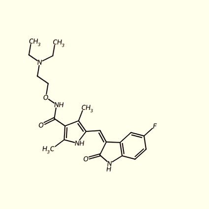 CCN(CC)CCONC(=O)c1c(C)[nH]c(C=C2C(=O)Nc3ccc(F)cc32)c1C